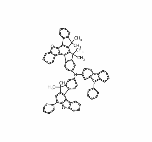 CC1(C)c2cc(N(c3ccc4c(c3)C(C)(C)c3c5c(c6oc7ccccc7c6c3-4)-c3ccccc3C5(C)C)c3ccc4c5ccccc5n(-c5ccccc5)c4c3)ccc2-c2c1cc(-c1ccccc1)c1oc3ccccc3c21